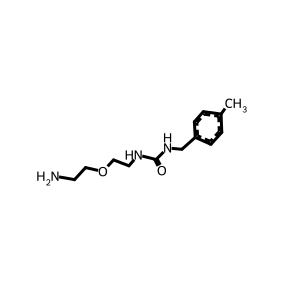 Cc1ccc(CNC(=O)NCCOCCN)cc1